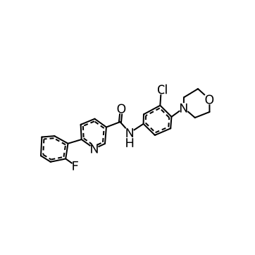 O=C(Nc1ccc(N2CCOCC2)c(Cl)c1)c1ccc(-c2ccccc2F)nc1